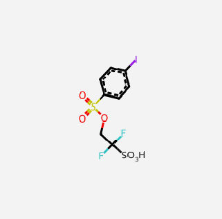 O=S(=O)(OCC(F)(F)S(=O)(=O)O)c1ccc(I)cc1